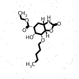 CCCCCO[C@@H]1[C@H](O)[C@H](C(=O)OCC)C[C@@H]2NC(=O)O[C@H]12